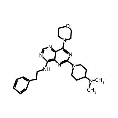 CN(C)C1CCN(c2nc(N3CCOCC3)c3ncnc(NCCc4ccccc4)c3n2)CC1